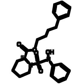 O=C(OCCCCc1ccccc1)[C@@H]1CCCCN1S(=O)(=O)N(O)c1ccccc1